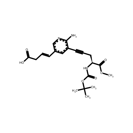 COC(=O)[C@H](CC#Cc1cc(/C=C/CC(=O)O)cnc1N)NC(=O)OC(C)(C)C